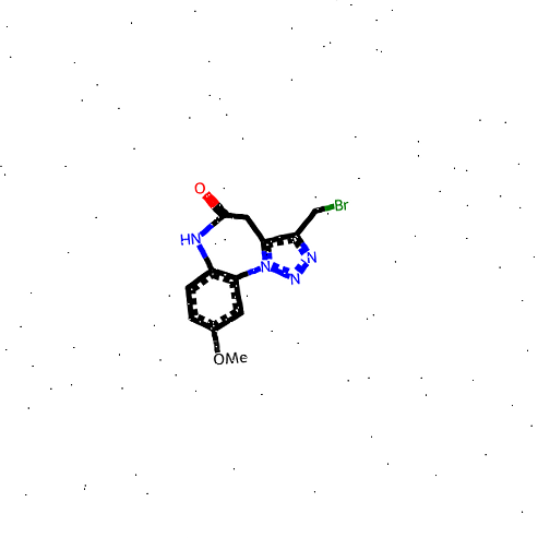 COc1ccc2c(c1)-n1nnc(CBr)c1CC(=O)N2